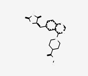 CC(C)(C)OC(=O)C1CCN(c2ncnc3ccc(C=C4SC(=O)NC4=O)cc23)CC1